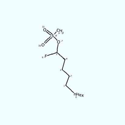 CCCCCCCCCCC(F)OS(C)(=O)=O